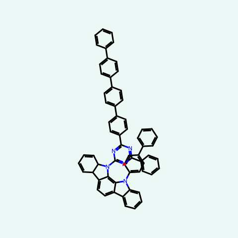 C1=CC2c3ccc4c5ccccc5n(-c5ccc(-c6ccccc6)cc5)c4c3N(c3nc(-c4ccccc4)nc(-c4ccc(-c5ccc(-c6ccc(-c7ccccc7)cc6)cc5)cc4)n3)C2C=C1